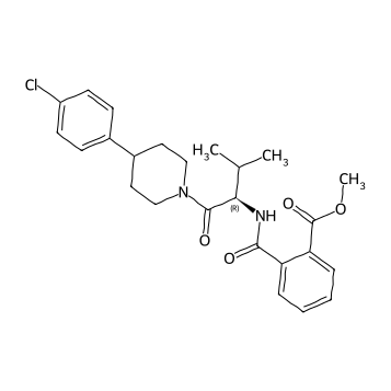 COC(=O)c1ccccc1C(=O)N[C@@H](C(=O)N1CCC(c2ccc(Cl)cc2)CC1)C(C)C